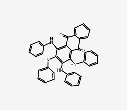 O=C1c2ccccc2C(=O)c2c(Nc3ccccc3)c(Nc3ccccc3)c(Nc3ccccc3)c(Nc3ccccc3)c21